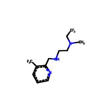 CN(CCNCc1ncccc1C(F)(F)F)CC(F)(F)F